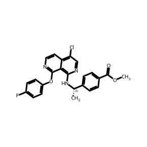 COC(=O)c1ccc([C@H](C)Nc2ncc(Cl)c3ccnc(Oc4ccc(F)cc4)c23)cc1